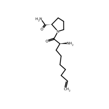 C=CCCCCC[C@H](N)C(=O)N1CCC[C@H]1C(N)=O